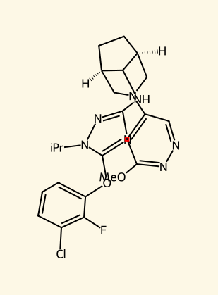 COc1cc(N2C[C@H]3CC[C@@H](C2)C3Nc2nc(Oc3cccc(Cl)c3F)n(C(C)C)n2)cnn1